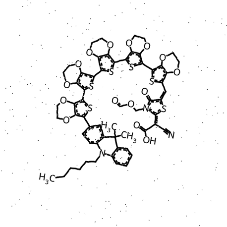 CCCCCCN1c2ccccc2C(C)(C)c2cc(-c3sc(-c4sc(-c5sc(-c6sc(-c7sc(/C=c8/s/c(=C(\C#N)C(=O)O)n(COC=O)c8=O)c8c7OCCO8)c7c6OCCO7)c6c5OCCO6)c5c4OCCO5)c4c3OCCO4)ccc21